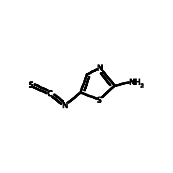 Nc1ncc(N=C=S)s1